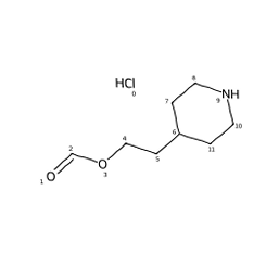 Cl.O=COCCC1CCNCC1